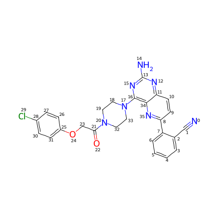 N#Cc1ccccc1-c1ccc2nc(N)nc(N3CCN(C(=O)COc4ccc(Cl)cc4)CC3)c2n1